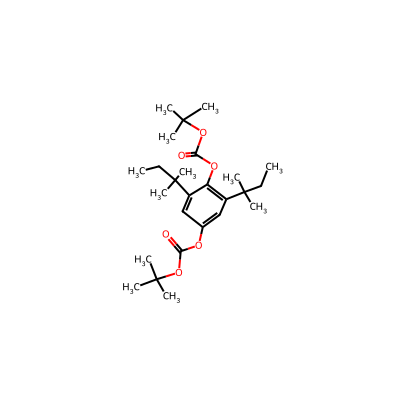 CCC(C)(C)c1cc(OC(=O)OC(C)(C)C)cc(C(C)(C)CC)c1OC(=O)OC(C)(C)C